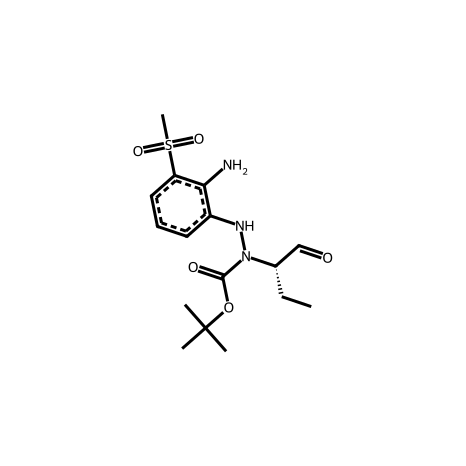 CC[C@@H](C=O)N(Nc1cccc(S(C)(=O)=O)c1N)C(=O)OC(C)(C)C